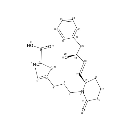 O=C(O)c1ncc(CCCN2C(=O)CCC[C@@H]2C=C[C@@H](O)Cc2ccccc2)s1